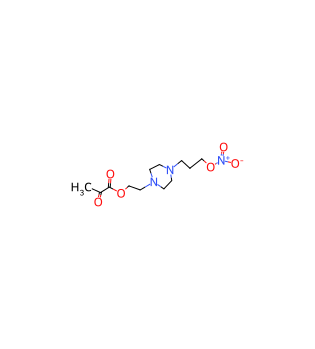 CC(=O)C(=O)OCCN1CCN(CCCO[N+](=O)[O-])CC1